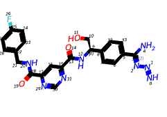 N=N/N=C(\N)c1ccc([C@H](CO)NC(=O)c2cc(C(=O)NCc3ccc(F)cc3)ncn2)cc1